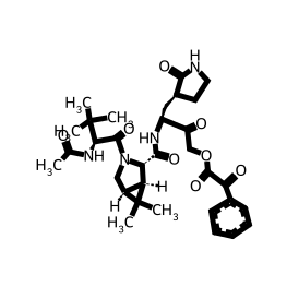 CC(=O)N[C@H](C(=O)N1C[C@H]2[C@@H]([C@H]1C(=O)N[C@@H](C[C@@H]1CCNC1=O)C(=O)COC(=O)C(=O)c1ccccc1)C2(C)C)C(C)(C)C